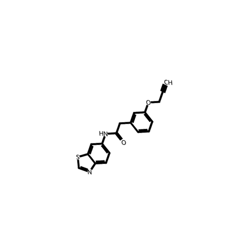 C#CCOc1cccc(CC(=O)Nc2ccc3ncsc3c2)c1